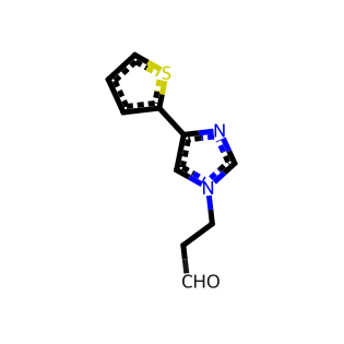 O=CCCn1cnc(-c2cccs2)c1